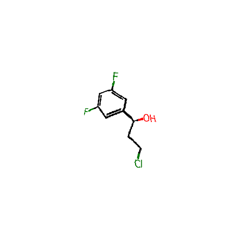 O[C@@H](CCCl)c1cc(F)cc(F)c1